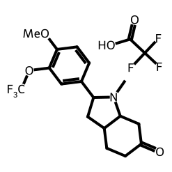 COc1ccc(C2CC3CCC(=O)CC3N2C)cc1OC(F)(F)F.O=C(O)C(F)(F)F